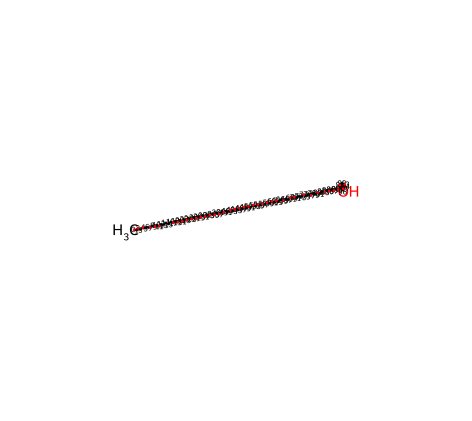 CCCCCCCCCCCCCCCCCCCCCCCCCCCCCCCCCCCCCCCCCCCCCCCCCCCCCCCCCCCCCCCCCCCCCCCCCCCCCCCCCCCCCCCCCCc1ccccc1O